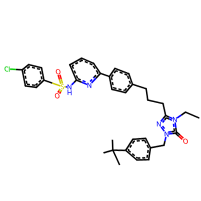 CCn1c(CCCc2ccc(-c3cccc(NS(=O)(=O)c4ccc(Cl)cc4)n3)cc2)nn(Cc2ccc(C(C)(C)C)cc2)c1=O